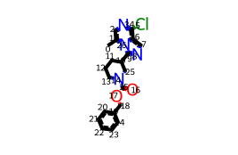 Cc1cnc(Cl)c2cnc(C3CCCN(C(=O)OCc4ccccc4)C3)n12